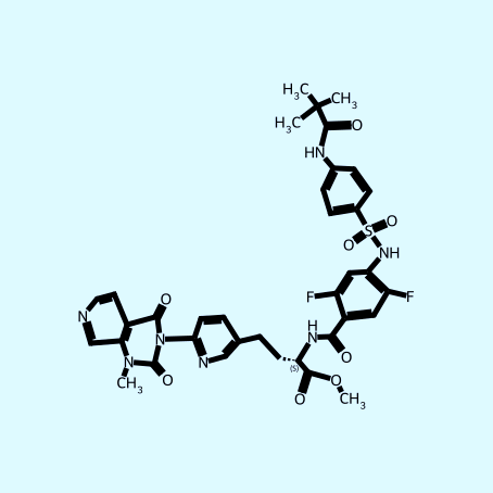 COC(=O)[C@H](CCc1ccc(-n2c(=O)c3ccncc3n(C)c2=O)nc1)NC(=O)c1cc(F)c(NS(=O)(=O)c2ccc(NC(=O)C(C)(C)C)cc2)cc1F